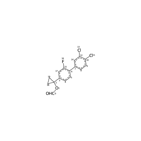 O=COC1(c2ccc(-c3ccc(Cl)c(Cl)c3)c(F)c2)CC1